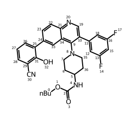 CCCCOC(=O)NC1CCN(c2c(-c3cc(F)cc(F)c3)cnc3ccc(-c4cccc(C#N)c4O)cc23)CC1